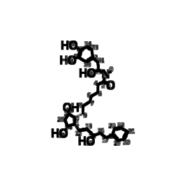 CN(C(=O)CCCCCC[C@@H]1[C@@H](/C=C/[C@@H](O)CCc2ccccc2)[C@H](O)C[C@@H]1O)C(O)Cc1ccc(O)c(O)c1